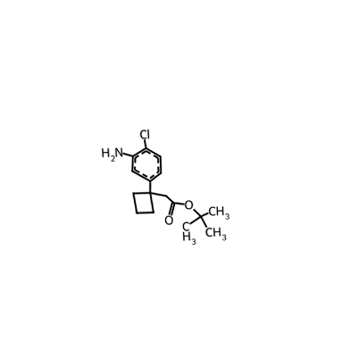 CC(C)(C)OC(=O)CC1(c2ccc(Cl)c(N)c2)CCC1